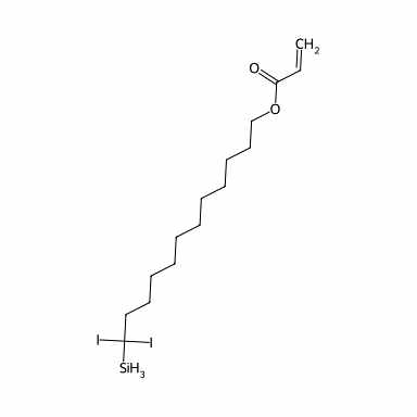 C=CC(=O)OCCCCCCCCCCCC([SiH3])(I)I